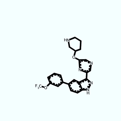 FC(F)(F)Oc1cccc(-c2ccc3[nH]nc(-c4cncc(OC5CCCNC5)n4)c3c2)c1